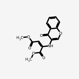 COC(=O)C=C(Nc1coc2ccccc2c1=O)C(=O)OC